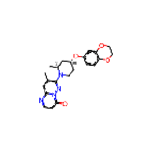 Cc1cc2nccc(=O)n2nc1N1CC[C@@H](Oc2ccc3c(c2)OCCO3)C[C@@H]1C